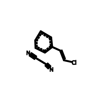 ClC=Cc1ccccc1.N#CC#N